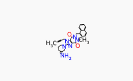 CC#CCn1c(N2CCC[C@@H](N)C2)nc2c(=O)n(C)n(Cc3cccc4ccccc34)c(=O)c21